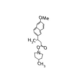 COc1ccc2cc(C(C)CC(=O)ON3CCC(C)CC3)ccc2c1